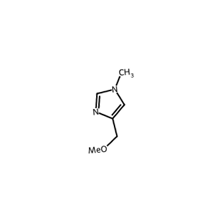 COCc1cn(C)cn1